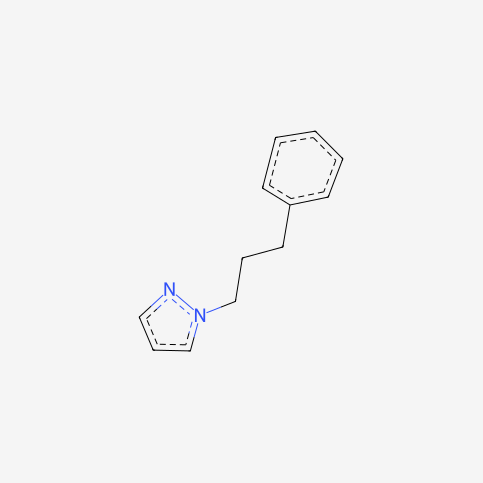 c1ccc(CCCn2cccn2)cc1